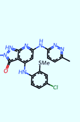 CSc1cc(Cl)ccc1Nc1cc(Nc2ccc(C)nn2)nc2[nH]n(C)c(=O)c12